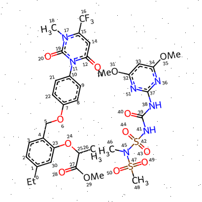 CCc1ccc(COc2ccc(-n3c(=O)cc(C(F)(F)F)n(C)c3=O)cc2)c(OC(C)C(=O)OC)c1.COc1cc(OC)nc(NC(=O)NS(=O)(=O)N(C)S(C)(=O)=O)n1